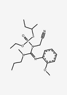 CCCN(C)C(=Nc1ccccc1OC)N(CC#N)P(=O)(OCC)SC(C)CC